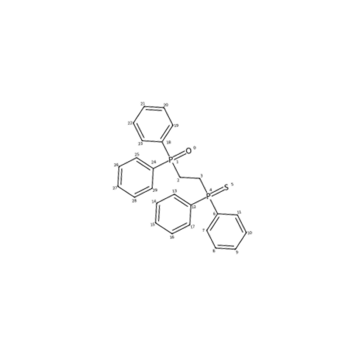 O=P(CCP(=S)(c1ccccc1)c1ccccc1)(c1ccccc1)c1ccccc1